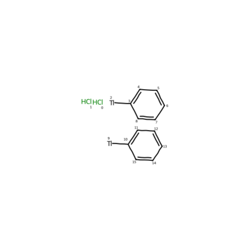 Cl.Cl.[Tl][c]1ccccc1.[Tl][c]1ccccc1